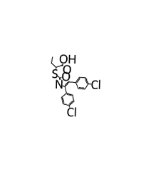 CCC(Sc1nc(-c2ccc(Cl)cc2)c(-c2ccc(Cl)cc2)o1)C(=O)O